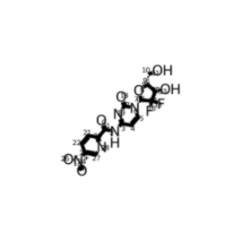 O=C(Nc1ccn([C@@H]2O[C@H](CO)[C@@H](O)C2(F)F)c(=O)n1)c1ccc([N+](=O)[O-])cn1